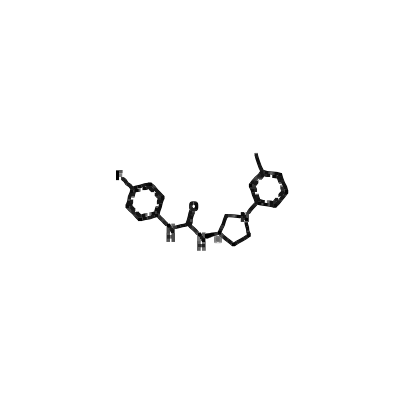 Cc1cccc(N2CC[C@@H](NC(=O)Nc3ccc(F)cc3)C2)c1